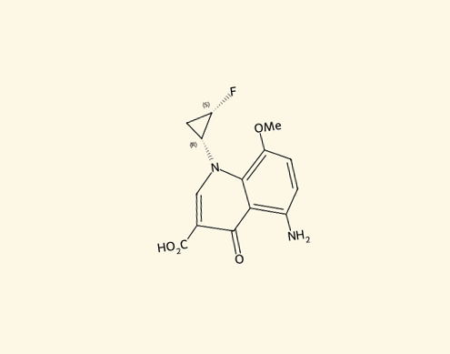 COc1ccc(N)c2c(=O)c(C(=O)O)cn([C@@H]3C[C@@H]3F)c12